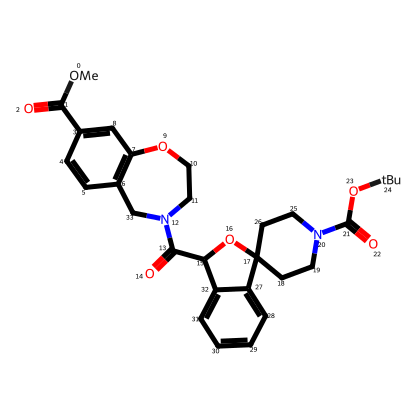 COC(=O)c1ccc2c(c1)OCCN(C(=O)C1OC3(CCN(C(=O)OC(C)(C)C)CC3)c3ccccc31)C2